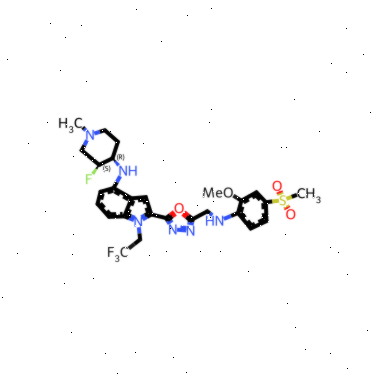 COc1cc(S(C)(=O)=O)ccc1NCc1nnc(-c2cc3c(N[C@@H]4CCN(C)C[C@@H]4F)cccc3n2CC(F)(F)F)o1